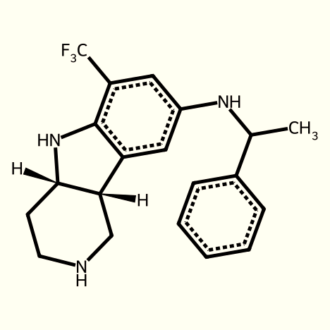 CC(Nc1cc2c(c(C(F)(F)F)c1)N[C@H]1CCNC[C@@H]21)c1ccccc1